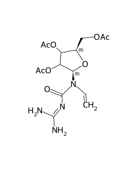 C=CN(C(=O)N=C(N)N)[C@@H]1O[C@H](COC(C)=O)C(OC(C)=O)C1OC(C)=O